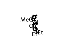 CCN(CC)C1CCN(C(=O)c2sc(-c3cc(C)ccc3OC)nc2C)CC1